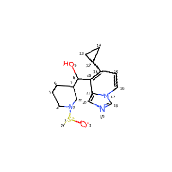 C[S+]([O-])N1CCCC(C(O)c2c(C3CC3)ccn3cncc23)C1